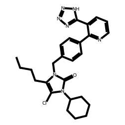 CCCCc1c(Cl)n(C2CCCCC2)c(=O)n1Cc1ccc(-c2ncccc2-c2nnn[nH]2)cc1